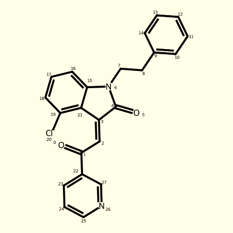 O=C(/C=C1/C(=O)N(CCc2ccccc2)c2cccc(Cl)c21)c1cccnc1